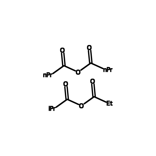 CCC(=O)OC(=O)C(C)C.CCCC(=O)OC(=O)CCC